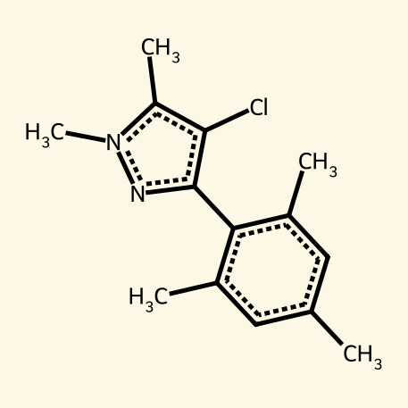 Cc1cc(C)c(-c2nn(C)c(C)c2Cl)c(C)c1